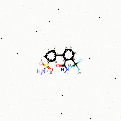 NC(=O)c1c(-c2cccc(S(N)(=O)=O)c2)cccc1C(F)(F)F